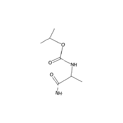 CC(C)OC(=O)NC(C)C([NH])=O